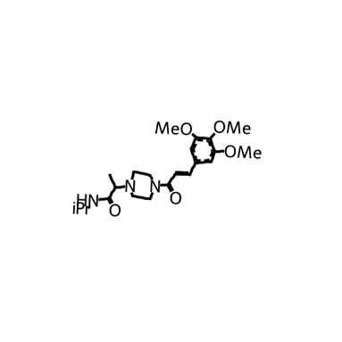 COc1cc(/C=C/C(=O)N2CCN(C(C)C(=O)NC(C)C)CC2)cc(OC)c1OC